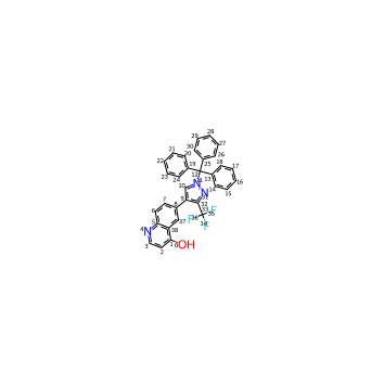 Oc1ccnc2ccc(-c3cn(C(c4ccccc4)(c4ccccc4)c4ccccc4)nc3C(F)(F)F)cc12